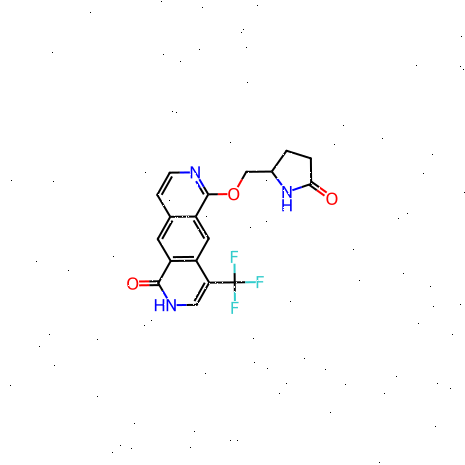 O=C1CCC(COc2nccc3cc4c(=O)[nH]cc(C(F)(F)F)c4cc23)N1